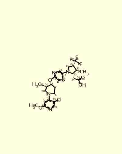 COc1cc(N2CC[C@@H](Oc3cnc(N4C[C@H](C(F)(F)F)[C@@H](C)[C@@H]4CC(=O)O)cn3)[C@H](C)C2)c(Cl)cn1